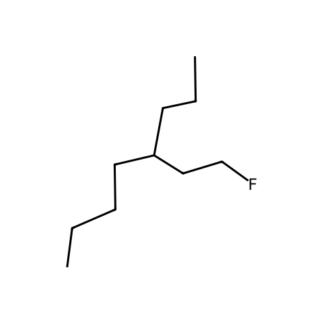 CCCCC(CCC)CCF